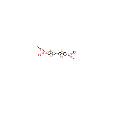 CCCCOCC(COc1ccc(-c2c(Br)cc(C(C)(C)c3cc(Br)c(-c4ccc(OCC(COCCCC)OCC5CO5)cc4)c(Br)c3)cc2Br)cc1)OCC1CO1